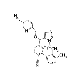 Cc1cccc(-c2cc(C(OCc3ccc(C#N)cn3)c3cncn3C)ccc2C#N)c1C